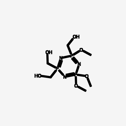 COP1(CO)=NP(OC)(OC)=NP(CO)(CO)=N1